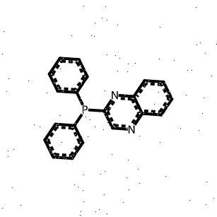 c1ccc(P(c2ccccc2)c2cnc3ccccc3n2)cc1